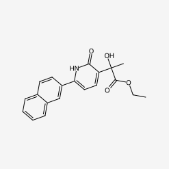 CCOC(=O)C(C)(O)c1ccc(-c2ccc3ccccc3c2)[nH]c1=O